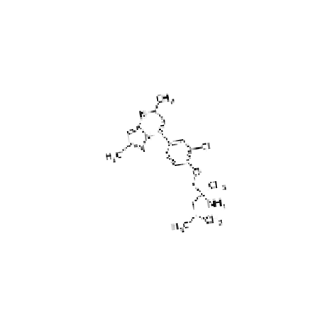 Cc1cc(-c2ccc(OC[C@@](C)(N)CC(C)C)c(Cl)c2)n2nc(C)cc2n1